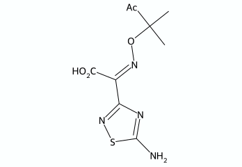 CC(=O)C(C)(C)O/N=C(\C(=O)O)c1nsc(N)n1